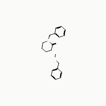 C[C@H](c1ccccc1)N1CCC[C@@H](COCc2ccccc2)C1=O